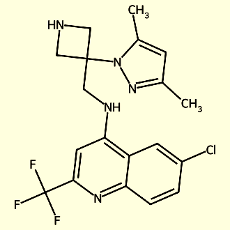 Cc1cc(C)n(C2(CNc3cc(C(F)(F)F)nc4ccc(Cl)cc34)CNC2)n1